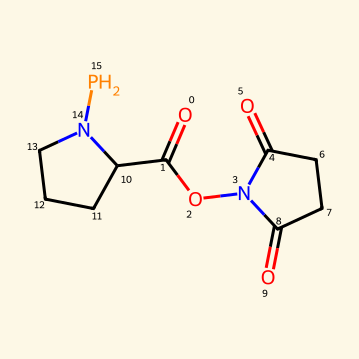 O=C(ON1C(=O)CCC1=O)C1CCCN1P